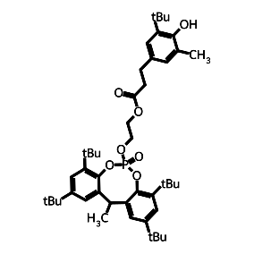 Cc1cc(CCC(=O)OCCOP2(=O)Oc3c(cc(C(C)(C)C)cc3C(C)(C)C)C(C)c3cc(C(C)(C)C)cc(C(C)(C)C)c3O2)cc(C(C)(C)C)c1O